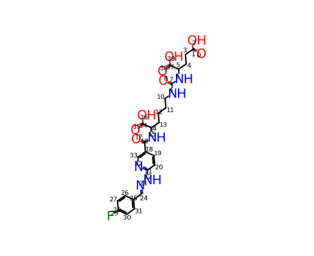 O=C(O)CCC(NC(=O)NCCCCC(NC(=O)c1ccc(NN=Cc2ccc(F)cc2)nc1)C(=O)O)C(=O)O